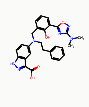 CN(C)c1noc(-c2cccc(CN(CCc3ccccc3)c3ccc4[nH]nc(C(=O)O)c4c3)c2O)n1